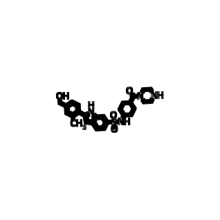 Cc1cc(CO)ccc1-c1cc2ccc(S(=O)(=O)NC3CCC(C(=O)N4CCNCC4)CC3)cc2[nH]1